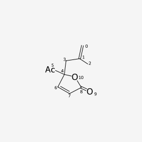 C=C(C)CC1(C(C)=O)C=CC(=O)O1